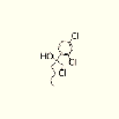 CCCCC(O)(CCl)c1ccc(Cl)cc1Cl